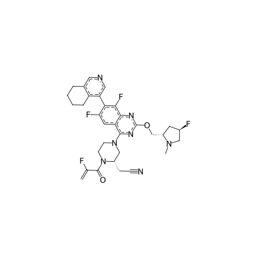 C=C(F)C(=O)N1CCN(c2nc(OC[C@@H]3C[C@@H](F)CN3C)nc3c(F)c(-c4cncc5c4CCCC5)c(F)cc23)C[C@@H]1CC#N